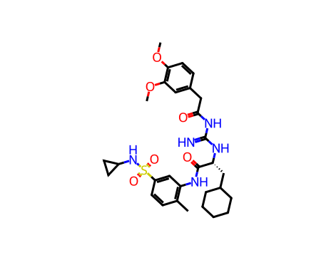 COc1ccc(CC(=O)NC(=N)N[C@H](CC2CCCCC2)C(=O)Nc2cc(S(=O)(=O)NC3CC3)ccc2C)cc1OC